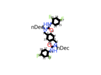 CCCCCCCCCCN(Cc1ccc(CN(CCCCCCCCCC)C(=O)Nc2ccc(F)cc2F)cc1)C(=O)Nc1ccc(F)cc1F